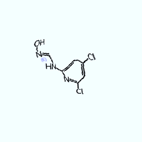 O/N=C/Nc1cc(Cl)cc(Cl)n1